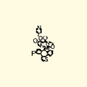 O=C1c2c(OCc3ccncc3)c(=O)ccn2N(C2c3ccc(F)cc3-c3ccsc3-c3ccccc32)[C@@H]2COCCN12